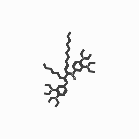 CCCCCCCCC=CC(C(CCCCCC)=Nc1ccc(N(CC)CC)c(N(CC)CC)c1)=[N+]([Ni])c1ccc(N(CC)CC)c(N(CC)CC)c1